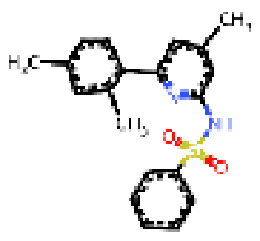 Cc1cc(NS(=O)(=O)c2ccccc2)nc(-c2ccc(C)cc2C)c1